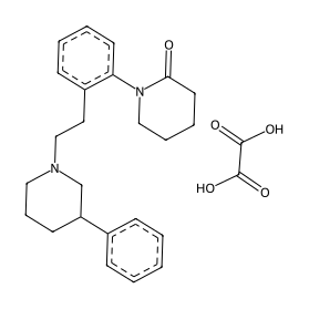 O=C(O)C(=O)O.O=C1CCCCN1c1ccccc1CCN1CCCC(c2ccccc2)C1